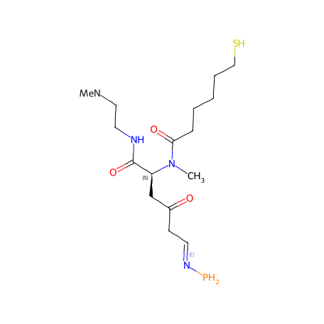 CNCCNC(=O)[C@H](CC(=O)C/C=N/P)N(C)C(=O)CCCCCS